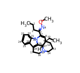 CCC/C(=N\OC)C1=C[C@]2(CC)CCCN3CCc4c(n1c1ccccc41)[C@@H]32